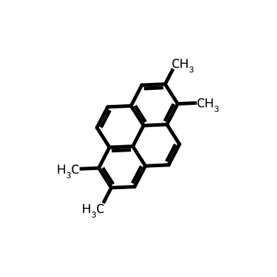 Cc1cc2ccc3c(C)c(C)cc4ccc(c1C)c2c43